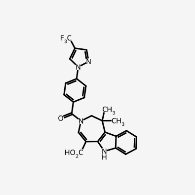 CC1(C)CN(C(=O)c2ccc(-n3cc(C(F)(F)F)cn3)cc2)C=C(C(=O)O)c2[nH]c3ccccc3c21